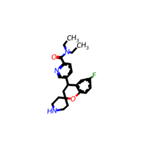 CCN(CC)C(=O)c1ccc(C2CC3(CCNCC3)Oc3ccc(F)cc32)cn1